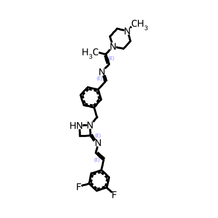 C/C(=C\N=C\c1cccc(CN2NC/C2=N\C=C\c2cc(F)cc(F)c2)c1)N1CCN(C)CC1